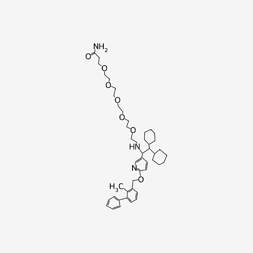 Cc1c(COc2ccc(C(NCCOCCOCCOCCOCCOCCC(N)=O)C(C3CCCCC3)C3CCCCC3)cn2)cccc1-c1ccccc1